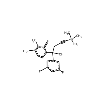 Cc1ccc(C(O)(CC#C[Si](C)(C)C)c2cc(F)cc(F)c2)c(=O)n1C